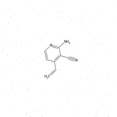 C=Cc1ccnc(N)c1C#N